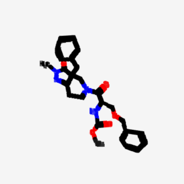 CN1N=C2CCN(C(=O)[C@@H](COCc3ccccc3)NC(=O)OC(C)(C)C)CC2(Cc2ccccc2)C1=O